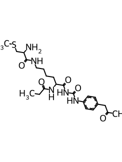 CCC(=O)NC(CCCCNC(=O)C(N)CSC)C(=O)NC(=O)Nc1ccc(CC(C)=O)cc1